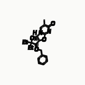 CCC1(CC)O[C@@H]2C(Oc3nc(=O)c(C)cn32)[C@H]1OCc1ccccc1